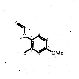 C=COc1ccc(OC)cc1C